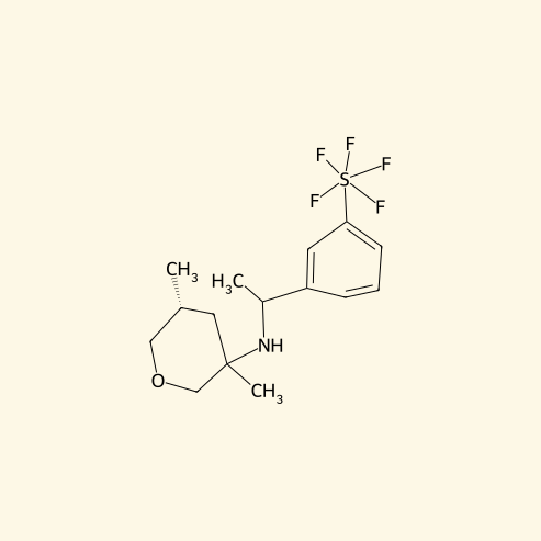 CC(NC1(C)COC[C@H](C)C1)c1cccc(S(F)(F)(F)(F)F)c1